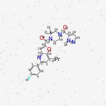 CC(C)c1cc(-c2ccc(F)cc2)nc2cc(C(=O)N3CCN(C(=O)c4ccnn4C)CC3(C)C)oc12